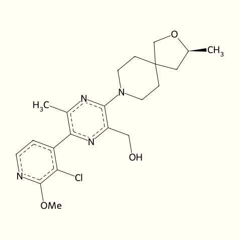 COc1nccc(-c2nc(CO)c(N3CCC4(CC3)CO[C@@H](C)C4)nc2C)c1Cl